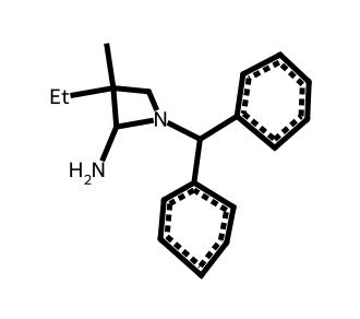 CCC1(C)CN(C(c2ccccc2)c2ccccc2)C1N